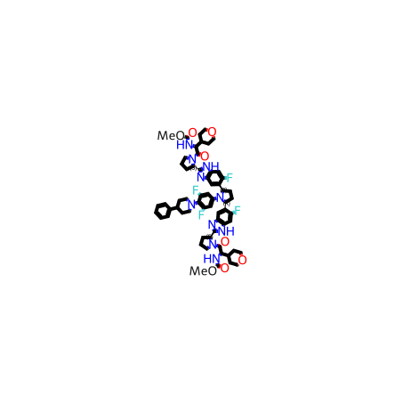 COC(=O)NC(C(=O)N1CCC[C@H]1c1nc2cc([C@H]3CC[C@H](c4cc5nc([C@@H]6CCCN6C(=O)C(NC(=O)OC)C6CCOCC6)[nH]c5cc4F)N3c3cc(F)c(N4CCC(c5ccccc5)CC4)c(F)c3)c(F)cc2[nH]1)C1CCOCC1